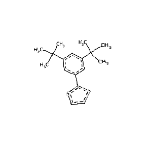 CC(C)(C)c1cc(-c2cccs2)cc(C(C)(C)C)c1